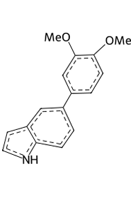 COc1ccc(-c2ccc3[nH]ccc3c2)cc1OC